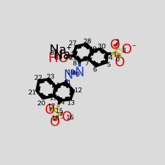 O=S(=O)([O-])c1ccc2c(N=Nc3ccc(S(=O)(=O)[O-])c4ccccc34)c(O)ccc2c1.[Na+].[Na+]